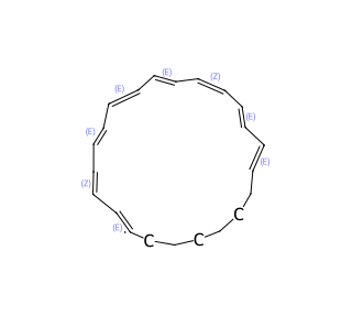 [C]1=C/C=C\C=C\C=C\C=C\C=C/C=C/C=C/CCCCCC/1